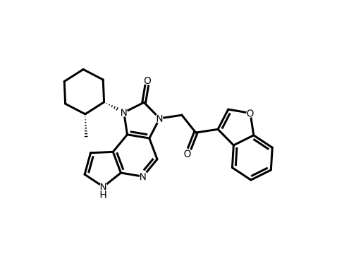 C[C@@H]1CCCC[C@@H]1n1c(=O)n(CC(=O)c2coc3ccccc23)c2cnc3[nH]ccc3c21